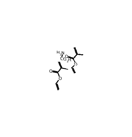 C=COC(=O)C(=C)C.C=COC(=O)C(=C)C.NC(=O)O